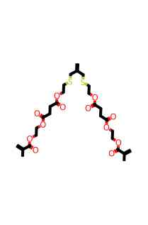 C=C(CSCCOC(=O)CCC(=O)OCCOC(=O)C(=C)C)CSCCOC(=O)CCC(=O)OCCOC(=O)C(=C)C